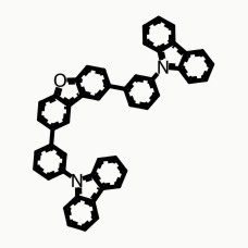 c1cc(-c2ccc3oc4ccc(-c5cccc(-n6c7ccccc7c7ccccc76)c5)cc4c3c2)cc(-n2c3ccccc3c3ccccc32)c1